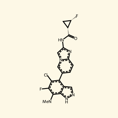 CNc1c(F)c(Cl)c(-c2ccc3nc(NC(=O)[C@@H]4C[C@@H]4F)cn3c2)c2cn[nH]c12